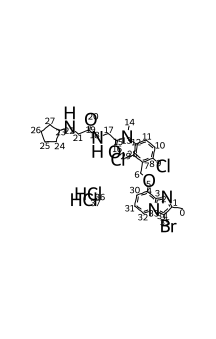 Cc1nc2c(OCc3c(Cl)ccc(N(C)C(=O)CNC(=O)CNC4CCCC4)c3Cl)cccn2c1Br.Cl.Cl